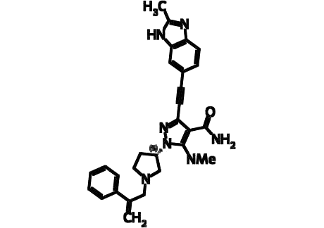 C=C(CN1CC[C@H](n2nc(C#Cc3ccc4nc(C)[nH]c4c3)c(C(N)=O)c2NC)C1)c1ccccc1